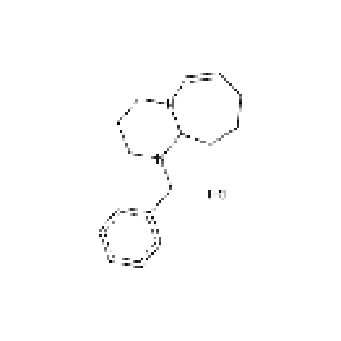 C1=CN2CCCN(Cc3ccccc3)C2CCC1.Cl